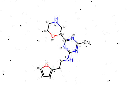 N#Cc1nc(NCCc2ccco2)nc(C2CNCCO2)n1